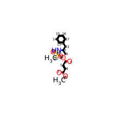 COC(=O)/C=C/C(=O)OCC(Cc1ccccc1)NS(C)(=O)=O